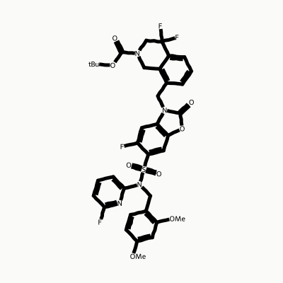 COc1ccc(CN(c2cccc(F)n2)S(=O)(=O)c2cc3oc(=O)n(Cc4cccc5c4CN(C(=O)OC(C)(C)C)CC5(F)F)c3cc2F)c(OC)c1